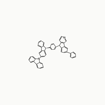 c1ccc(-c2ccc3c(c2)-c2cnccc2C3c2ccc([C@@H]3c4ccccc4-c4cc(-n5c6ccccc6c6ccccc65)ccc43)cc2)cc1